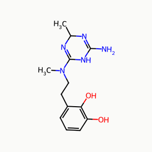 CC1N=C(N)NC(N(C)CCc2cccc(O)c2O)=N1